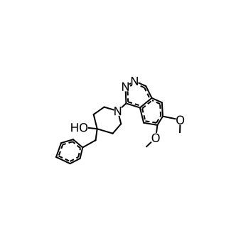 COc1cc2cnnc(N3CCC(O)(Cc4ccccc4)CC3)c2cc1OC